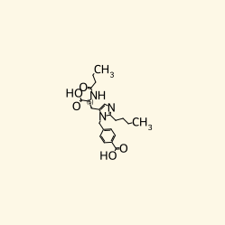 CCCCc1ncc(C[C@H](NC(=O)CCC)C(=O)O)n1Cc1ccc(C(=O)O)cc1